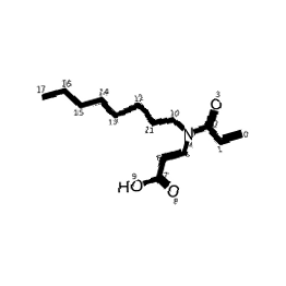 C=CC(=O)N(C=CC(=O)O)CCCCCCCC